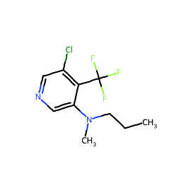 CCCN(C)c1cncc(Cl)c1C(F)(F)F